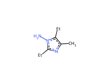 CCc1nc(C)c(CC)n1N